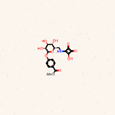 COC(=O)c1ccc(OC2O[C@H](CNc3c(O)c(=O)c3=O)[C@@H](O)[C@H](O)[C@@H]2O)cc1